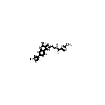 Cc1nc(C(=O)NCCn2cc3c(N)nc4cc(-c5cc[nH]n5)ccc4c3n2)co1